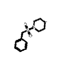 O=S(=O)(Cc1ccccc1)N1CC[CH]CC1